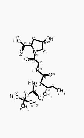 CC[C@H](C)[C@H](NC(=O)OC(C)(C)C)C(=O)NCC(=O)N1CC(O)CC1C(=O)O